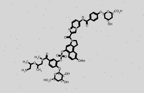 COc1ccc2c(OS(=O)(=O)Oc3cc(C(=O)N(C)CC(C)OC(C)CN)ccc3O[C@@H]3O[C@H](C(=O)O)C[C@H](O)[C@H]3O)cc3c(c2c1)CCN3C(=O)c1cn2cc(NC(=O)c3ccc(O[C@H]4C[C@@H](O)C[C@@H](C(=O)O)O4)cc3)ccc2n1